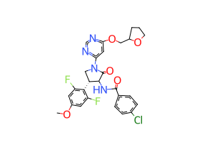 COc1cc(F)c([C@@H]2CN(c3cc(OCC4CCCO4)ncn3)C(=O)C2NC(=O)c2ccc(Cl)cc2)c(F)c1